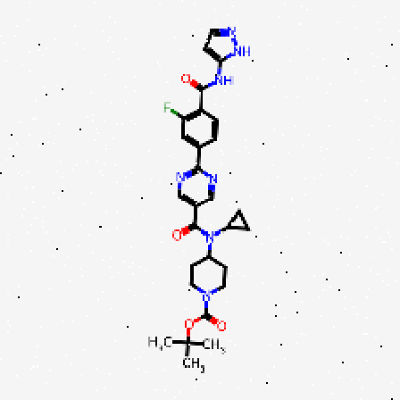 CC(C)(C)OC(=O)N1CCC(N(C(=O)c2cnc(-c3ccc(C(=O)Nc4ccn[nH]4)c(F)c3)nc2)C2CC2)CC1